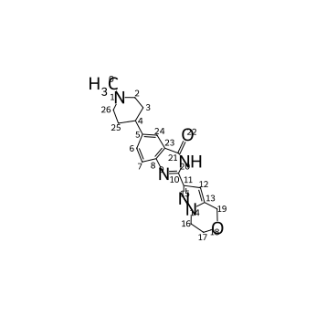 CN1CCC(c2ccc3nc(-c4cc5n(n4)CCOC5)[nH]c(=O)c3c2)CC1